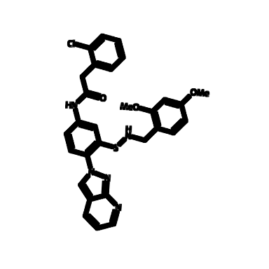 COc1ccc(CNSc2cc(NC(=O)Cc3ccccc3Cl)ccc2-n2cc3cccnc3n2)c(OC)c1